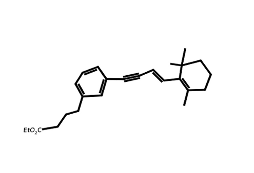 CCOC(=O)CCCc1cccc(C#CC=CC2=C(C)CCCC2(C)C)c1